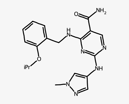 CC(C)Oc1ccccc1CNc1nc(Nc2cnn(C)c2)ncc1C(N)=O